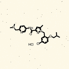 Cc1cc(C(=O)Nc2ccc(CN(C)C)nc2)nn1Cc1cc(Cl)ccc1OCC(C)C.Cl